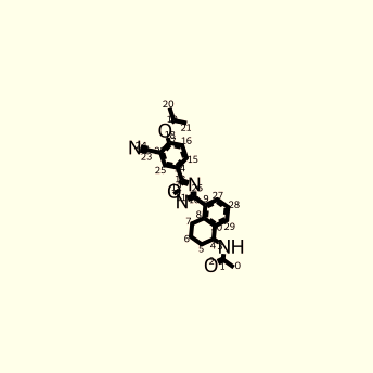 CC(=O)NC1CCCc2c(-c3noc(-c4ccc(OC(C)C)c(C#N)c4)n3)cccc21